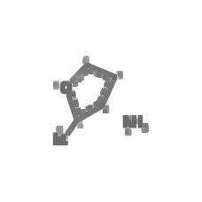 CCc1ccco1.N